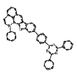 C1=CN(c2ccccc2)c2c3oc4cc(-c5ccc(-c6nc(-c7ccccc7)nc(-c7ccccc7)n6)cc5)ccc4c3cc3cccc1c23